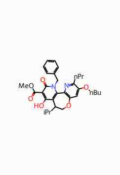 CCCCOc1cc2c(nc1CCC)-c1c(c(O)c(C(=O)OC)c(=O)n1Cc1ccccc1)C(C(C)C)CO2